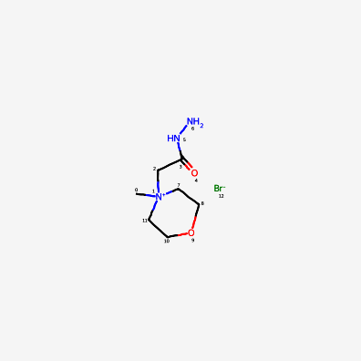 C[N+]1(CC(=O)NN)CCOCC1.[Br-]